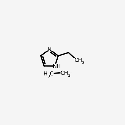 CCc1ncc[nH]1.[CH2]C